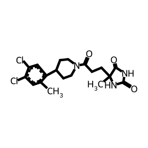 Cc1cc(Cl)c(Cl)cc1C1CCN(C(=O)CCC2(C)NC(=O)NC2=O)CC1